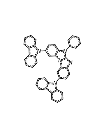 c1ccc(-n2c3ccc(-n4c5ccccc5c5ccccc54)cc3n3c4cc(-n5c6ccccc6c6ccccc65)ccc4nc23)cc1